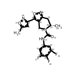 Cc1cc(-c2onc3c2CN(C(=O)Nc2cc(F)c(F)c(F)c2)[C@@H](C)C3)no1